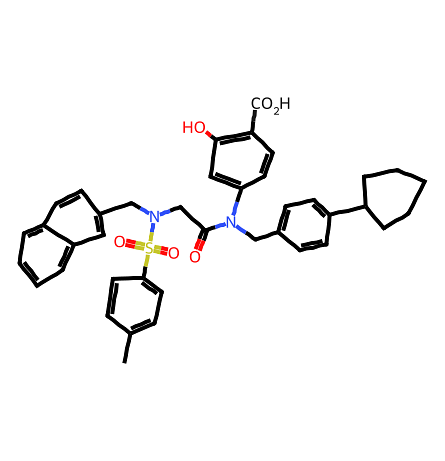 Cc1ccc(S(=O)(=O)N(CC(=O)N(Cc2ccc(C3CCCCC3)cc2)c2ccc(C(=O)O)c(O)c2)Cc2ccc3ccccc3c2)cc1